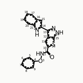 O=C(NOc1ccccc1)c1cc2c(-c3cc4ccccc4[nH]3)n[nH]c2s1